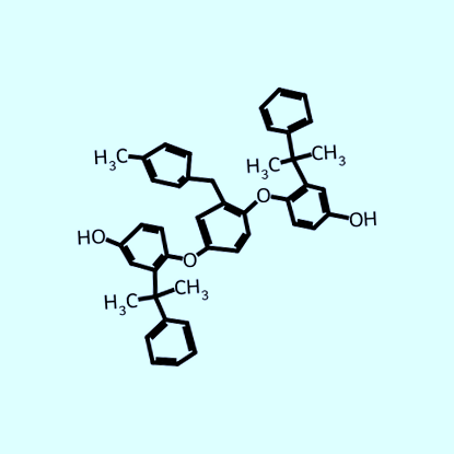 Cc1ccc(Cc2cc(Oc3ccc(O)cc3C(C)(C)c3ccccc3)ccc2Oc2ccc(O)cc2C(C)(C)c2ccccc2)cc1